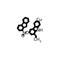 C=Cc1cccc2c1[nH]c1ccccc12.O=[N+]([O-])c1cccc2c1Cc1ccccc1-2.[Cu]